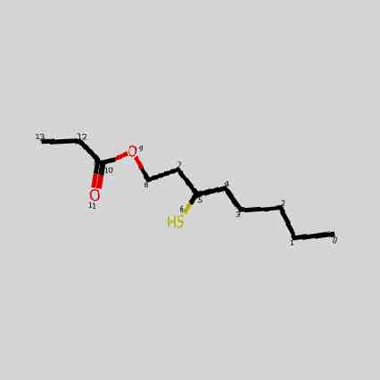 CCCCCC(S)CCOC(=O)CC